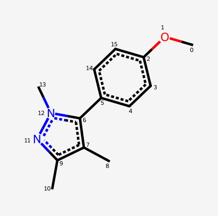 COc1ccc(-c2c(C)c(C)nn2C)cc1